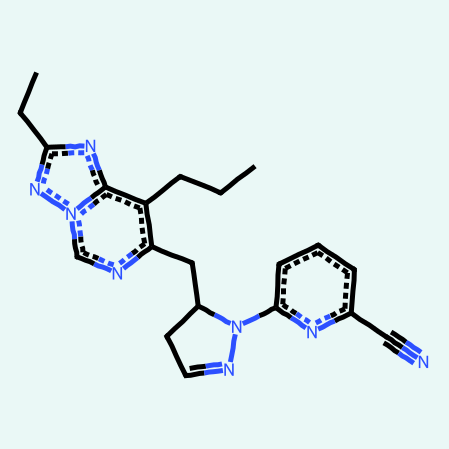 CCCc1c(CC2CC=NN2c2cccc(C#N)n2)ncn2nc(CC)nc12